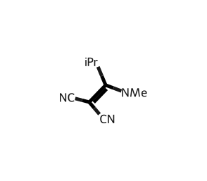 CNC(=C(C#N)C#N)C(C)C